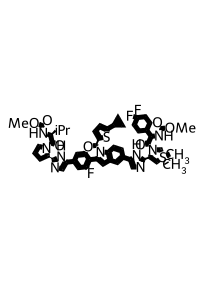 COC(=O)NC(C(=O)N1CS(C)(C)C[C@H]1c1ncc(-c2ccc3c(c2)cc2n3[C@H](c3ccc(C4CC4)s3)Oc3cc(-c4cnc([C@@H]5CCCN5C(=O)[C@@H](NC(=O)OC)C(C)C)[nH]4)cc(F)c3-2)[nH]1)C1CCC(F)(F)CC1